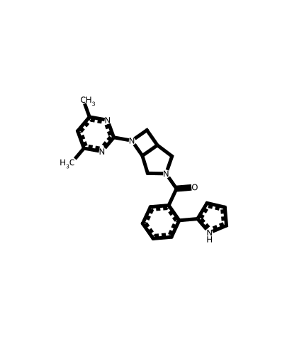 Cc1cc(C)nc(N2CC3CN(C(=O)c4ccccc4-c4ccc[nH]4)CC32)n1